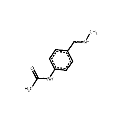 CNCc1ccc(NC(C)=O)cc1